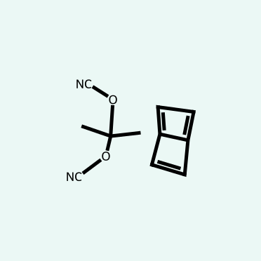 CC(C)(OC#N)OC#N.c1cc2ccc1-2